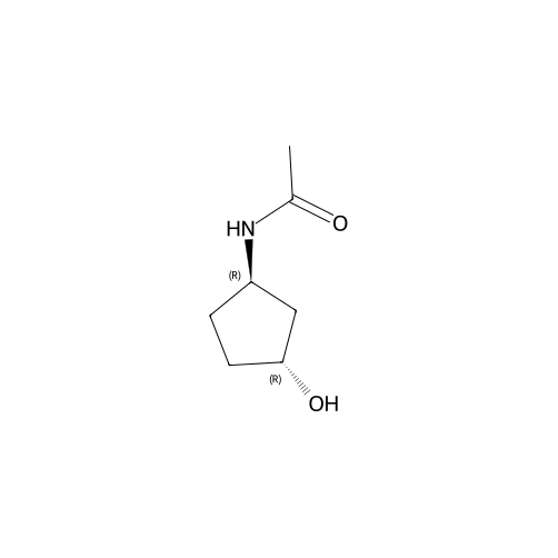 CC(=O)N[C@@H]1CC[C@@H](O)C1